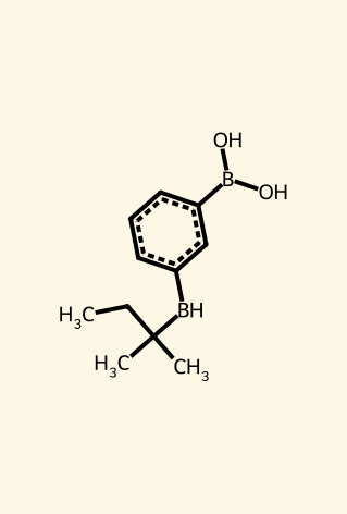 CCC(C)(C)Bc1cccc(B(O)O)c1